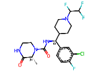 C[C@@H]1C(=O)NCCN1C(=O)N[C@H](c1ccc(F)c(Cl)c1)C1CCN(C(F)C(F)F)CC1